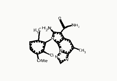 COc1ccc(C)c(-n2c(N)c(C(N)=O)c3cc(C)c4ncnn4c32)c1Cl